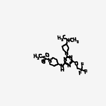 CN(C)C1CCN(c2nc(NC3CCN(S(C)(=O)=O)CC3)nc(OCC(F)(F)F)n2)C1